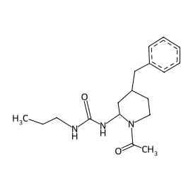 CCCNC(=O)NC1CC(Cc2ccccc2)CCN1C(C)=O